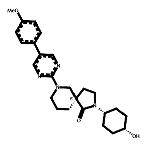 COc1ccc(-c2cnc(N3CCC[C@@]4(CCN([C@H]5CC[C@@H](O)CC5)C4=O)C3)nc2)cc1